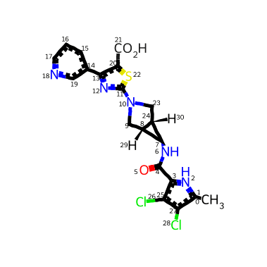 Cc1[nH]c(C(=O)N[C@H]2[C@@H]3CN(c4nc(-c5cccnc5)c(C(=O)O)s4)C[C@@H]32)c(Cl)c1Cl